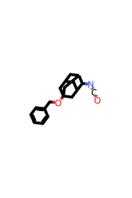 O=C=NC1C2CC3CC1CC(OCc1ccccc1)(C3)C2